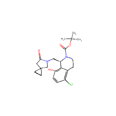 CC(C)(C)OC(=O)N1CCc2c(Cl)ccc(O)c2[C@H]1CN1CC2(CC2)CC1=O